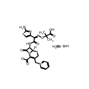 Br.Br.CC(C)(O/N=C(\C(=O)N[C@@H]1C(=O)N2C(C(=O)[O-])=C(C[n+]3ccccc3)CS[C@H]12)c1csc(N)n1)C(=O)O.O